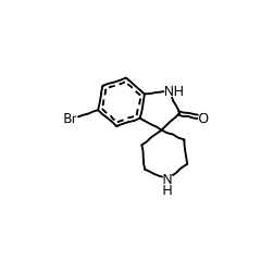 O=C1Nc2ccc(Br)cc2C12CCNCC2